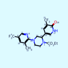 CCOC(=O)N1CCN(c2ncc(C(F)(F)F)cc2C)CC1c1c[nH]c(=O)c(C(F)(F)F)c1